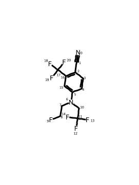 N#Cc1ccc(N(CCF)CC(F)(F)F)cc1C(F)(F)F